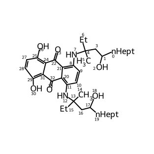 CCCCCCCC(O)CC(C)(CC)Nc1ccc(NC(C)(CC)CC(O)CCCCCCC)c2c1C(=O)c1c(O)ccc(O)c1C2=O